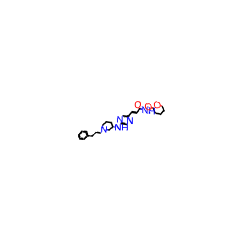 O=C(/C=C/c1cnc(N[C@@H]2CCCN(CCCc3ccccc3)C2)cn1)NOC1CCCCO1